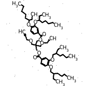 C#CCOCC(COCC#C)(COC(=O)c1ccc(OCC(CC)CCCC)c(OCC(CC)CCCC)c1)COC(=O)c1ccc(OC(CC)CCCCC)c(OC(CC)CCCCC)c1